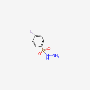 NNS(=O)(=O)c1ccc(I)cc1